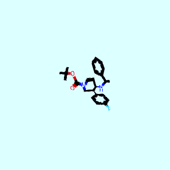 CC(N[C@@H]1CCN(C(=O)OC(C)(C)C)C[C@@H]1c1ccc(F)cc1)c1ccccc1